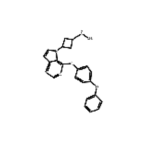 CNC1CC(n2ccc3ncnc(Oc4ccc(Oc5ccccc5)cc4)c32)C1